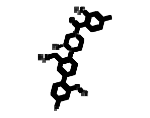 CCOc1cc(F)ccc1-c1ccc(N2CCN(C(=O)c3ccc(C)cc3C(F)(F)F)C[C@H]2CC)c(CN)c1